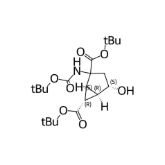 CC(C)(C)OC(=O)NC1(C(=O)OC(C)(C)C)C[C@H](O)[C@H]2[C@H](C(=O)OC(C)(C)C)[C@H]21